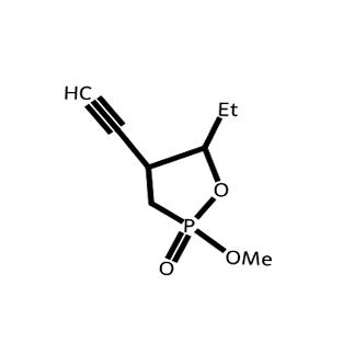 C#CC1CP(=O)(OC)OC1CC